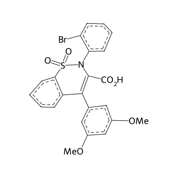 COc1cc(OC)cc(C2=C(C(=O)O)N(c3ccccc3Br)S(=O)(=O)c3ccccc32)c1